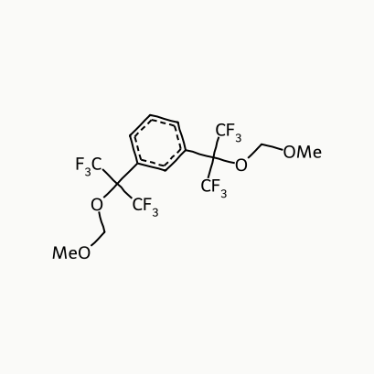 COCOC(c1cccc(C(OCOC)(C(F)(F)F)C(F)(F)F)c1)(C(F)(F)F)C(F)(F)F